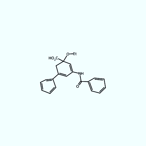 CCOC1(C(=O)O)C=C(NC(=O)c2ccccc2)C=C(c2ccccc2)C1